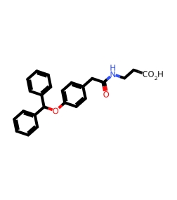 O=C(O)CCNC(=O)Cc1ccc(OC(c2ccccc2)c2ccccc2)cc1